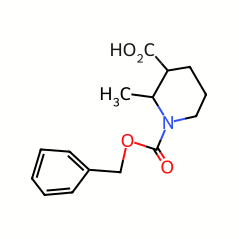 CC1C(C(=O)O)CCCN1C(=O)OCc1ccccc1